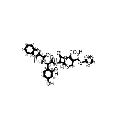 O=C(O)C1=C(CSc2nncs2)CS[C@H]2C(NC(=O)C(NC(=O)c3nc4ccccc4[nH]3)c3ccc(O)cc3O)C(=O)N12